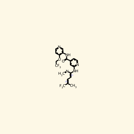 C=N/C(=C\C=C(/C)C(F)(F)F)Nc1cc(C(=O)Nc2cnccc2OCC(F)(F)F)ccn1